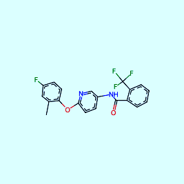 Cc1cc(F)ccc1Oc1ccc(NC(=O)c2ccccc2C(F)(F)F)cn1